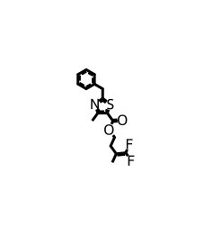 CC(CCOC(=O)c1sc(Cc2ccccc2)nc1C)=C(F)F